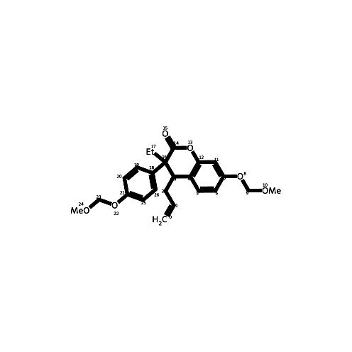 C=CCC1c2ccc(OCOC)cc2OC(=O)C1(CC)c1ccc(OCOC)cc1